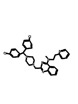 CN(CCc1ccccn1)c1nc(CN2CCN(C(c3ccc(Cl)cc3)c3ccc(Cl)cc3)CC2)nc2ccccc12